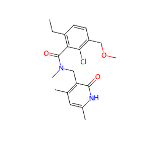 CCc1ccc(COC)c(Cl)c1C(=O)N(C)Cc1c(C)cc(C)[nH]c1=O